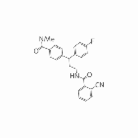 CNC(=O)c1ccc(C(CCNC(=O)c2ccccc2C#N)c2ccc(F)cc2)cc1